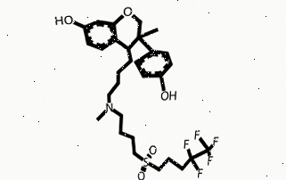 CN(CCCCC1c2ccc(O)cc2OCC1(C)c1ccc(O)cc1)CCCCS(=O)(=O)CCCC(F)(F)C(F)(F)F